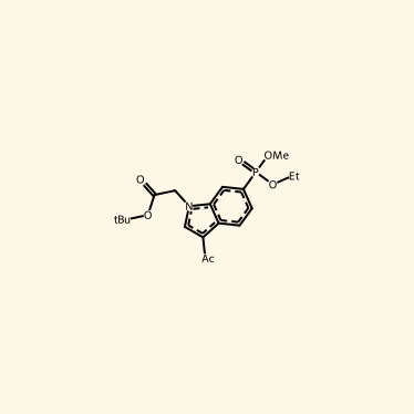 CCOP(=O)(OC)c1ccc2c(C(C)=O)cn(CC(=O)OC(C)(C)C)c2c1